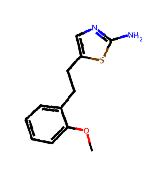 COc1ccccc1CCc1cnc(N)s1